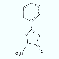 O=C1N=C(c2ccccc2)OC1[N+](=O)[O-]